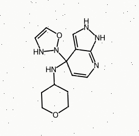 C1=CC(NC2CCOCC2)(N2NC=CO2)C2=CNNC2=N1